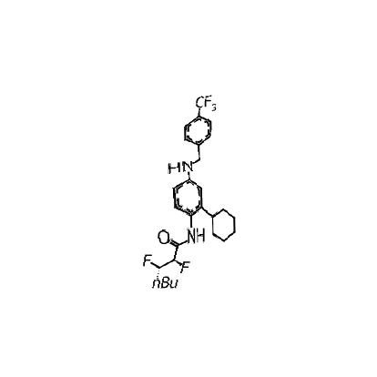 CCCC[C@H](F)[C@H](F)C(=O)Nc1ccc(NCc2ccc(C(F)(F)F)cc2)cc1C1CCCCC1